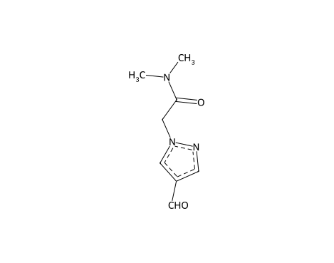 CN(C)C(=O)Cn1cc(C=O)cn1